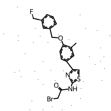 Cc1cc(-c2csc(NC(=O)CBr)n2)ccc1OCc1cccc(CF)c1